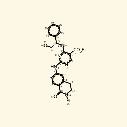 CCOC(=O)c1cnc(Nc2ccc3c(c2)CCN(CC)C3=O)nc1N[C@H](CO)c1ccccc1